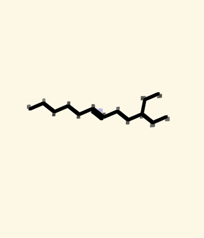 CCCCC/C=C/CCC(CC)CC